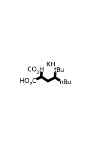 CCCCC(CC(C(=O)O)C(=O)O)C(C)(C)C.[KH]